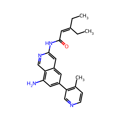 CCC(=CC(=O)Nc1cc2cc(-c3cnccc3C)cc(N)c2cn1)CC